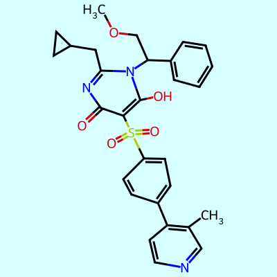 COCC(c1ccccc1)n1c(CC2CC2)nc(=O)c(S(=O)(=O)c2ccc(-c3ccncc3C)cc2)c1O